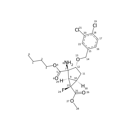 CCCCOC(=O)[C@@]1(N)[C@H]2[C@@H](C[C@H]1OCc1ccc(Cl)c(Cl)c1)[C@]2(F)C(=O)OC